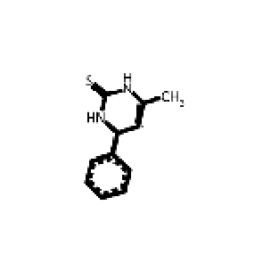 CC1=[C]C(c2ccccc2)NC(=S)N1